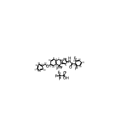 O=C(Nc1ccn(Cc2ccc(OCc3cccnc3)cc2C(F)(F)F)n1)c1c(F)cccc1F.O=C(O)C(F)(F)F